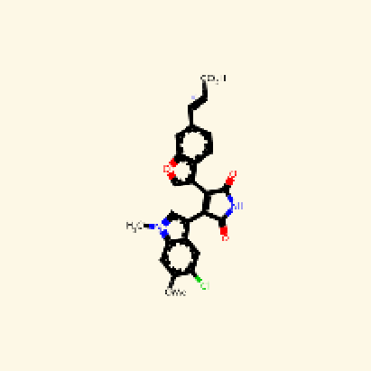 COc1cc2c(cc1Cl)c(C1=C(c3coc4cc(/C=C/C(=O)O)ccc34)C(=O)NC1=O)cn2C